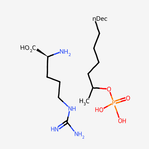 CCCCCCCCCCCCCCC(C)OP(=O)(O)O.N=C(N)NCCC[C@H](N)C(=O)O